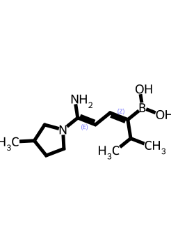 CC1CCN(/C(N)=C/C=C(/B(O)O)C(C)C)C1